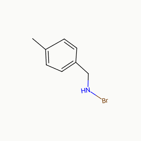 Cc1ccc(CNBr)cc1